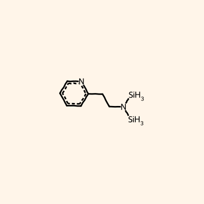 [SiH3]N([SiH3])CCc1ccccn1